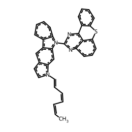 C\C=C/C=C\C=C\n1ccc2cc3c4ccccc4n(-c4nc5c6c(cccc6n4)Sc4ccccc4-5)c3cc21